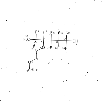 CCCCCCOCCOC(F)(C(F)(F)C(F)(F)F)C(F)(F)C(F)(F)C(O)(F)F